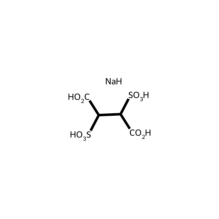 O=C(O)C(C(C(=O)O)S(=O)(=O)O)S(=O)(=O)O.[NaH]